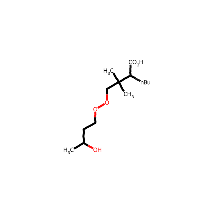 CCCCC(C(=O)O)C(C)(C)COOCCC(C)O